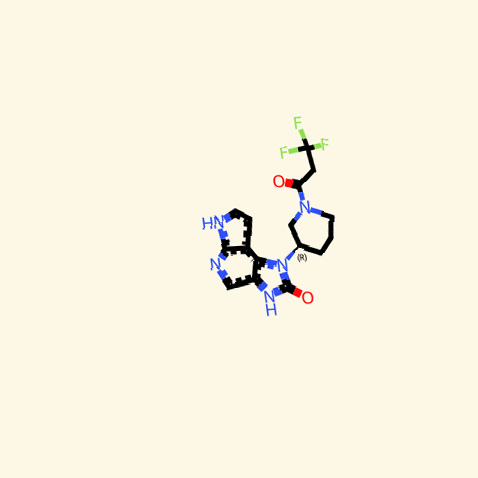 O=C(CC(F)(F)F)N1CCC[C@@H](n2c(=O)[nH]c3cnc4[nH]ccc4c32)C1